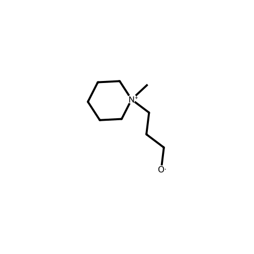 C[N+]1(CCC[O])CCCCC1